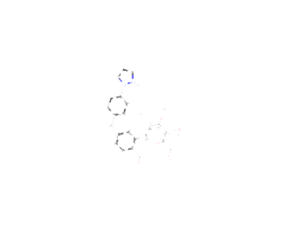 OCc1ccc(Cc2ccc(-n3cccn3)cc2)cc1[C@@H]1O[C@H](CO)[C@@H](O)[C@H](O)[C@H]1O